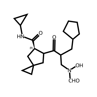 O=CN(O)CC(CC1CCCC1)C(=O)C1CC2(CC2)C[C@H]1C(=O)NC1CC1